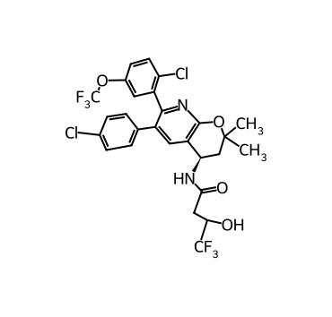 CC1(C)C[C@@H](NC(=O)CC(O)C(F)(F)F)c2cc(-c3ccc(Cl)cc3)c(-c3cc(OC(F)(F)F)ccc3Cl)nc2O1